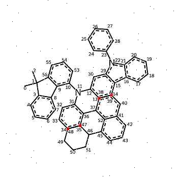 CC1(C)c2ccccc2-c2c(N(c3ccc4c5ccccc5n(-c5ccccc5)c4c3)c3ccccc3-c3cccc4cccc(C5CCCCC5)c34)cccc21